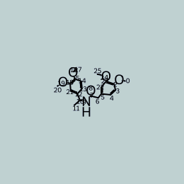 COc1ccc(CC(=O)NC(C)c2ccc(OC)c(OC)c2)cc1OC